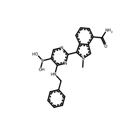 Cn1cc2c(C(N)=O)cccc2c1-c1ncc(B(O)O)c(NCc2ccccc2)n1